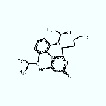 CCCCc1nc(=O)cc(O)n1-c1c(OC(C)C)cccc1OC(C)C